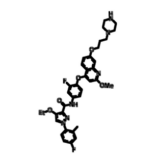 CCOc1cn(-c2ccc(F)cc2C)nc1C(=O)Nc1ccc(Oc2cc(OC)nc3cc(OCCCN4CCNCC4)ccc23)c(F)c1